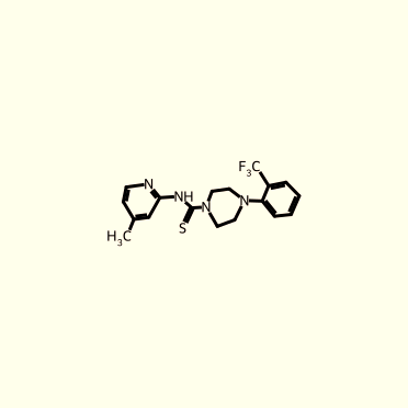 Cc1ccnc(NC(=S)N2CCN(c3ccccc3C(F)(F)F)CC2)c1